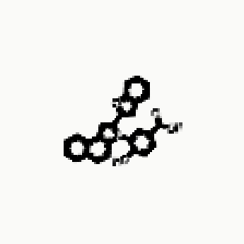 O=C(O)c1ccc(O)c(-n2c(-c3cc4ccccc4o3)cc3c4ccccc4ccc32)c1